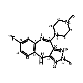 CN1CCN(C2=Nc3cc(F)ccc3Nc3nn(C)nc32)CC1